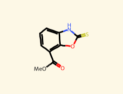 COC(=O)c1cccc2[nH]c(=S)oc12